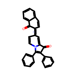 O=C1C2=C/C(=C3\C=Cc4ccccc4C3=O)C=CN2C(c2ccccc2)=C1c1ccccc1